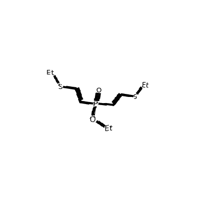 CCOP(=O)(C=CSCC)C=CSCC